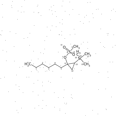 CCCCCCC1(OS(C)(=O)=O)CC1[Si](C)(C)C